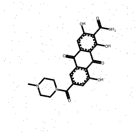 CN1CCN(C(=O)c2cc(O)c3c(c2)C(=O)c2cc(O)c(C(N)=O)c(O)c2C3=O)CC1